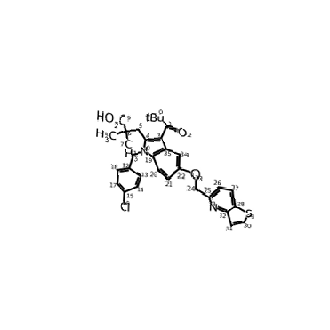 CC(C)(C)C(=O)c1c(CC(C)(C)C(=O)O)n(Cc2ccc(Cl)cc2)c2ccc(OCc3ccc4sccc4n3)cc12